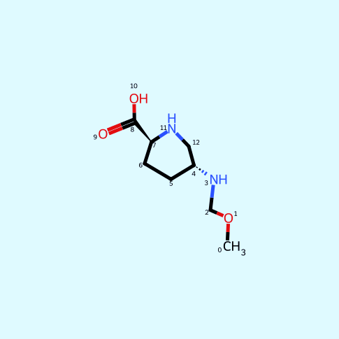 COCN[C@@H]1CC[C@@H](C(=O)O)NC1